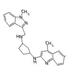 Cc1cc(NC2CCC(NCc3nn(C)c4ccccc34)C2)nc2ccc(F)cc12